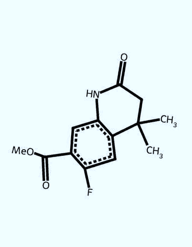 COC(=O)c1cc2c(cc1F)C(C)(C)CC(=O)N2